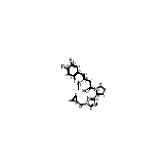 N[C@@H](CC(=O)N1CCC[C@H]1c1ncn(CC2CC2)n1)Cc1cc(F)c(F)cc1F